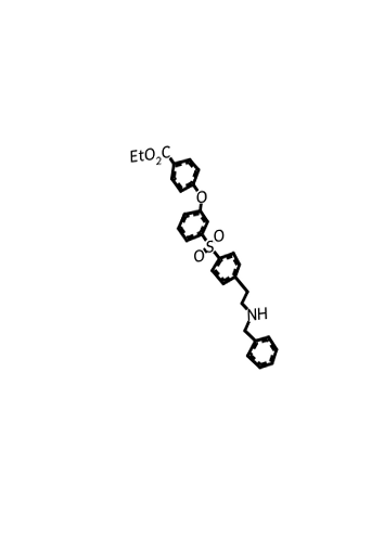 CCOC(=O)c1ccc(Oc2cccc(S(=O)(=O)c3ccc(CCNCc4ccccc4)cc3)c2)cc1